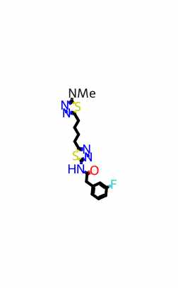 CNc1nnc(CCCCc2nnc(NC(=O)Cc3cccc(F)c3)s2)s1